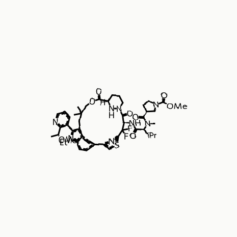 CCn1c(-c2cccnc2[C@H](C)OC)c2c3cc(ccc31)-c1csc(n1)C(F)(F)[C@H](NC(=O)C(C(C)C)N(C)C(=O)[C@H]1CCN(C(=O)OC)C1)C(=O)N1CCC[C@H](N1)C(=O)OCC(C)(C)C2